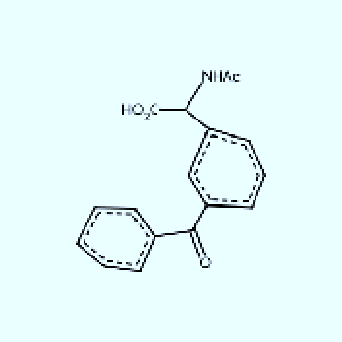 CC(=O)NC(C(=O)O)c1cccc(C(=O)c2ccccc2)c1